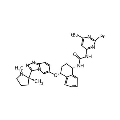 CC(C)c1nc(NC(=O)N[C@H]2CC[C@@H](Oc3ccc4nnc([C@]5(C)CCCN5C)n4c3)c3ccccc32)cc(C(C)(C)C)n1